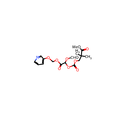 COC(=O)C(C)(C)COC(=O)OC(O[C]=O)C(=O)OCOc1cccnc1